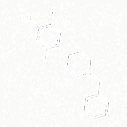 Cc1cc(C2CCN(Cc3cccnc3)CC2)c(C)cc1N